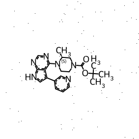 C[C@H]1CN(C(=O)OC(C)(C)C)CCN1c1ncnc2[nH]cc(-c3cccnc3)c12